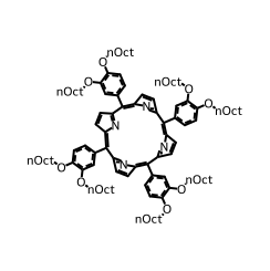 CCCCCCCCOc1ccc(C2=C3C=CC(=N3)C(c3ccc(OCCCCCCCC)c(OCCCCCCCC)c3)=C3C=CC(=N3)C(c3ccc(OCCCCCCCC)c(OCCCCCCCC)c3)=C3C=CC(=N3)C(c3ccc(OCCCCCCCC)c(OCCCCCCCC)c3)=C3C=CC2=N3)cc1OCCCCCCCC